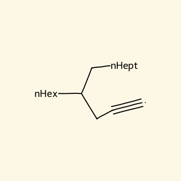 [C]#CCC(CCCCCC)CCCCCCCC